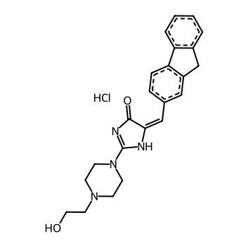 Cl.O=C1N=C(N2CCN(CCO)CC2)NC1=Cc1ccc2c(c1)Cc1ccccc1-2